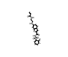 C=CC(=O)NCCNc1ccc2cc(C(=O)NS(=O)(=O)c3ccccc3F)oc2c1